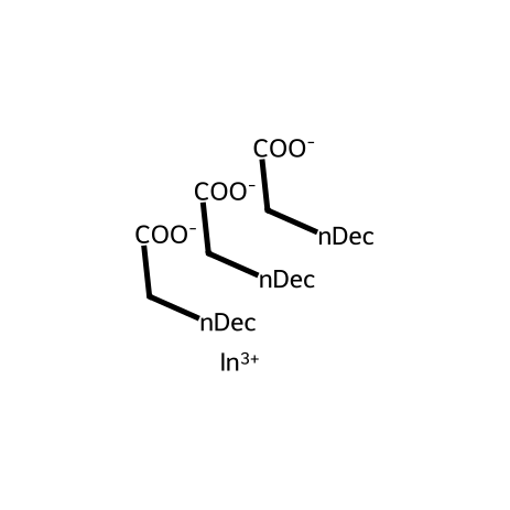 CCCCCCCCCCCC(=O)[O-].CCCCCCCCCCCC(=O)[O-].CCCCCCCCCCCC(=O)[O-].[In+3]